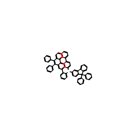 c1ccc(-c2ccc(N(c3ccc4c(c3)-c3ccccc3C4(c3ccccc3)c3ccccc3)c3ccccc3-c3ccc4c(c3)c(-c3ccccc3)c(-c3ccccc3)c3ccccc34)cc2)cc1